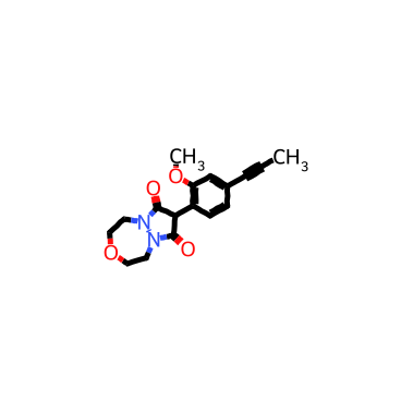 CC#Cc1ccc(C2C(=O)N3CCOCCN3C2=O)c(OC)c1